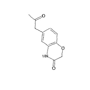 CC(=O)Cc1ccc2c(c1)NC(=O)CO2